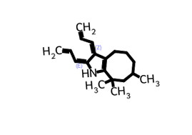 C=C/C=c1/c2c([nH]/c1=C/C=C)C(C)(C)CC(C)CCC2